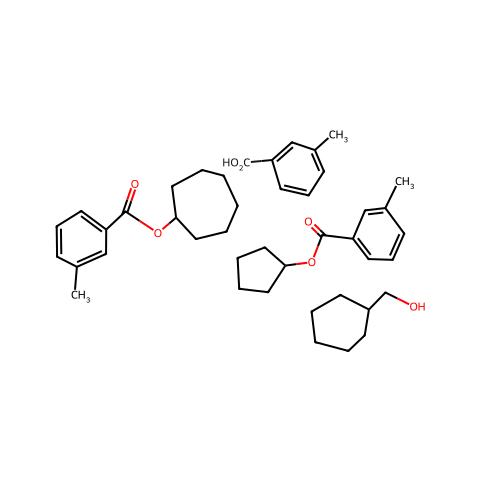 Cc1cccc(C(=O)O)c1.Cc1cccc(C(=O)OC2CCCC2)c1.Cc1cccc(C(=O)OC2CCCCCC2)c1.OCC1CCCCC1